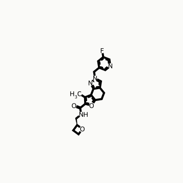 Cc1c(C(=O)NC[C@@H]2CCO2)oc2c1-c1nn(Cc3cncc(F)c3)cc1CC2